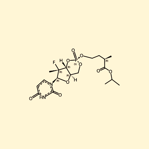 CC(C)OC(=O)[C@H](C)CCO[P@@]1(=O)OC[C@H]2O[C@@H](n3ccc(=O)[nH]c3=O)[C@](C)(F)[C@@H]2O1